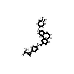 O=C(O)C1CC1c1ccc(OCc2ccc3c(c2)-c2ccc(OC4CCS(=O)(=O)CC4)cc2CCC3)cc1